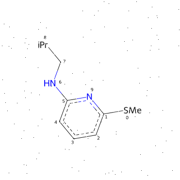 CSc1cccc(NCC(C)C)n1